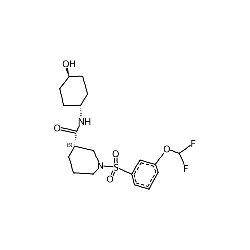 O=C(N[C@H]1CC[C@H](O)CC1)[C@H]1CCCN(S(=O)(=O)c2cccc(OC(F)F)c2)C1